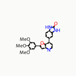 COc1cc(-c2cc3nccc(-c4ccc5[nH]c(=O)[nH]c5c4)c3o2)cc(OC)c1OC